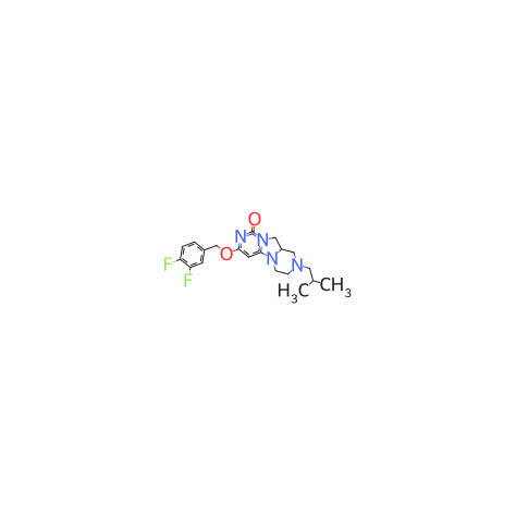 CC(C)CN1CCN2c3cc(OCc4ccc(F)c(F)c4)nc(=O)n3CC2C1